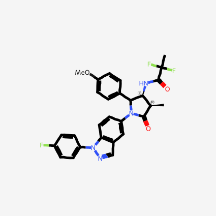 COc1ccc(C2[C@@H](NC(=O)C(C)(F)F)[C@@H](C)C(=O)N2c2ccc3c(cnn3-c3ccc(F)cc3)c2)cc1